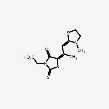 CC(/C=C1/SCCN1C)=C1\SC(=S)N(CC(=O)O)C1=O